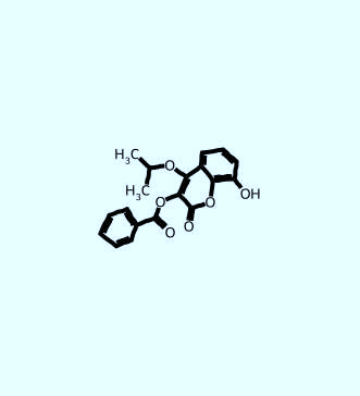 CC(C)Oc1c(OC(=O)c2ccccc2)c(=O)oc2c(O)cccc12